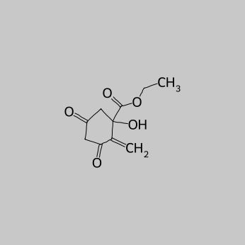 C=C1C(=O)CC(=O)CC1(O)C(=O)OCC